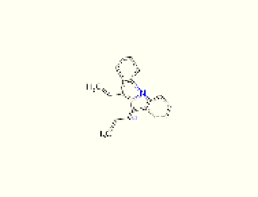 C=C/C=c1/c2ccccc2n2c1c(C=C)c1ccccc12